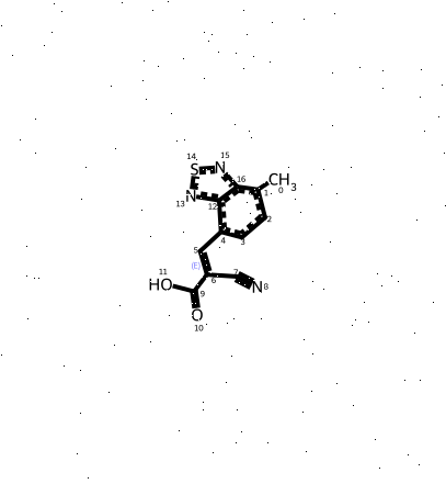 Cc1ccc(/C=C(\C#N)C(=O)O)c2nsnc12